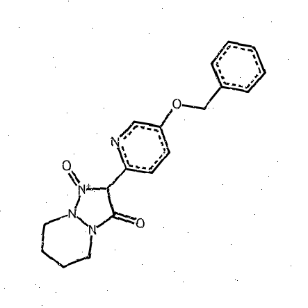 O=C1C(c2ccc(OCc3ccccc3)cn2)[N+](=O)N2CCCCN12